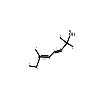 CC/C(C)=C/C=C/C(C)(C)O